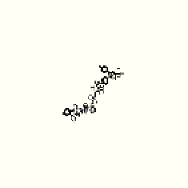 Cc1ccc(-c2cc(C(F)(F)F)nn2-c2ccc(S(=O)(=O)NC(=O)CCC(=O)OC[C@@H]3CCCN3/[N+]([O-])=N/OC(C)N3C(=O)c4ccccc4C3=O)cc2)cc1